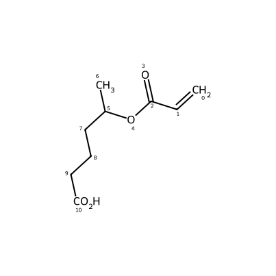 C=CC(=O)OC(C)CCCC(=O)O